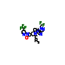 C[C@@H]1CC2(CC(=O)N(c3cc(C(F)(F)F)ccn3)C2)C[C@H](C)N1c1cnc2cnn(CC(F)F)c2n1